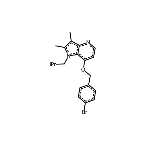 Cc1c(C)n(CC(C)C)c2c(OCc3ccc(Br)cc3)ccnc12